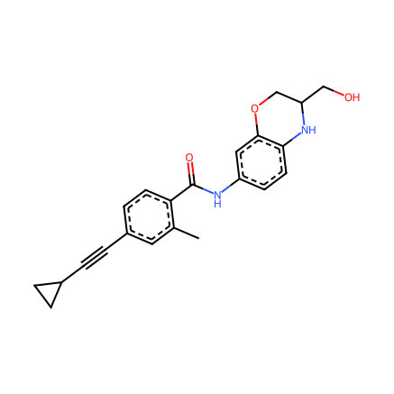 Cc1cc(C#CC2CC2)ccc1C(=O)Nc1ccc2c(c1)OCC(CO)N2